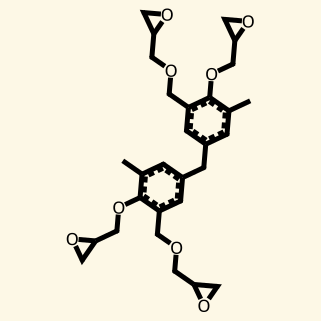 Cc1cc(Cc2cc(C)c(OCC3CO3)c(COCC3CO3)c2)cc(COCC2CO2)c1OCC1CO1